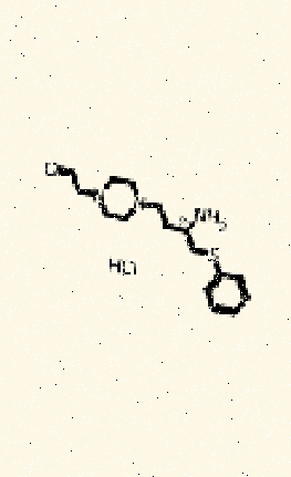 Cl.N[C@H](CCN1CCN(CC=O)CC1)CSc1ccccc1